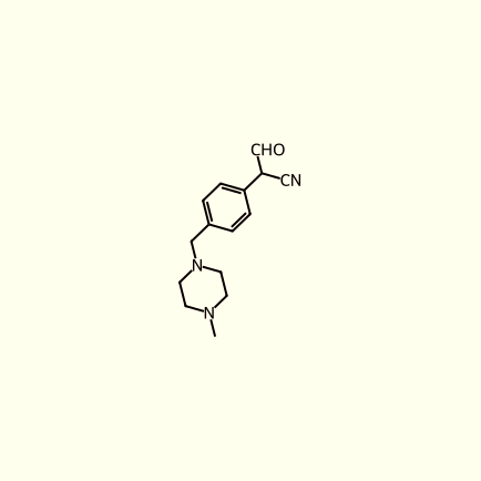 CN1CCN(Cc2ccc(C(C#N)C=O)cc2)CC1